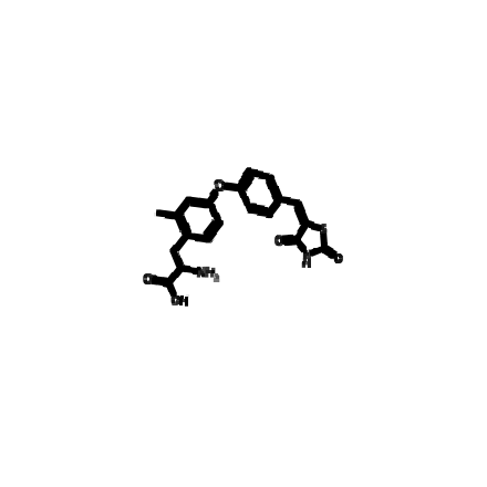 Cc1cc(Oc2ccc(C=C3SC(=O)NC3=O)cc2)ccc1CC(N)C(=O)O